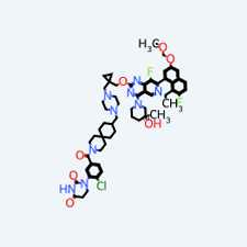 CCc1c(F)ccc2cc(OCOC)cc(-c3ncc4c(N5CCC[C@@](C)(O)C5)nc(OCC5(CN6CCN(CC7CCC8(CC7)CCN(C(=O)c7ccc(Cl)c(N9CCC(=O)NC9=O)c7)CC8)CC6)CC5)nc4c3F)c12